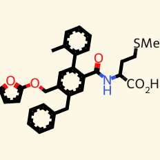 CSCCC(NC(=O)c1cc(Cc2ccccc2)c(COc2ccco2)cc1-c1ccccc1C)C(=O)O